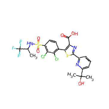 CC(NS(=O)(=O)c1ccc(-c2sc(-c3cccc(C(C)(C)O)n3)nc2C(=O)O)c(Cl)c1Cl)C(F)(F)F